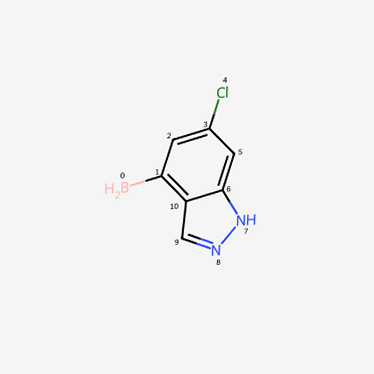 Bc1cc(Cl)cc2[nH]ncc12